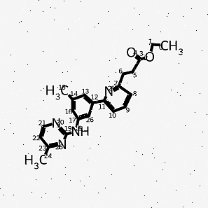 CCOC(=O)CCc1cccc(-c2cc(C)cc(Nc3nccc(C)n3)c2)n1